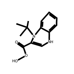 CC(C)(C)N1C(C(=O)OO)=CNc2ccccc21